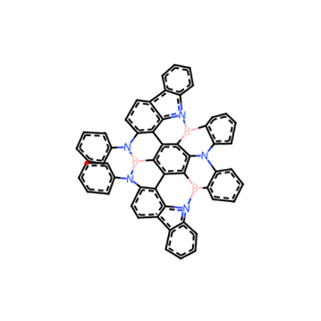 c1ccc(N2B3c4c5c6c7c8c4-c4c(ccc9c%10ccccc%10n(c49)B8c4ccccc4N7c4ccccc4B6n4c6ccccc6c6ccc2c-5c64)N3c2ccccc2)cc1